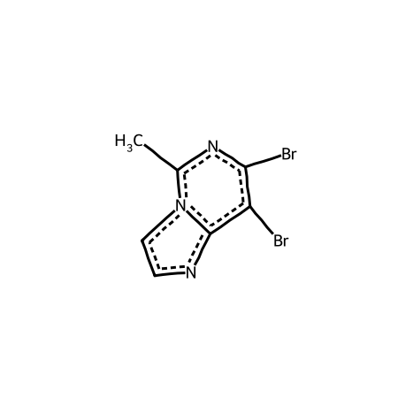 Cc1nc(Br)c(Br)c2nccn12